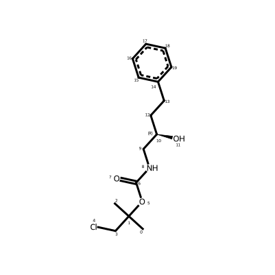 CC(C)(CCl)OC(=O)NC[C@H](O)CCc1ccccc1